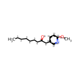 CCCCCCCC(=O)Cc1ccc(OC)nc1